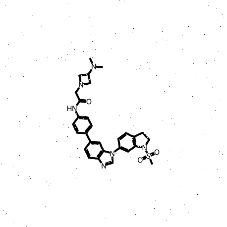 CN(C)C1CN(CC(=O)Nc2ccc(-c3ccc4ncn(-c5ccc6c(c5)N(S(C)(=O)=O)CC6)c4c3)cc2)C1